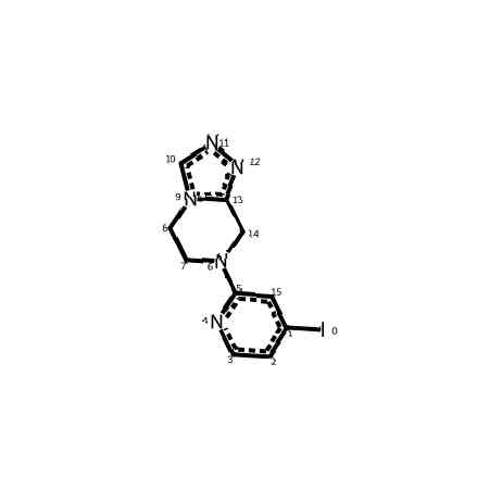 Ic1ccnc(N2CCn3cnnc3C2)c1